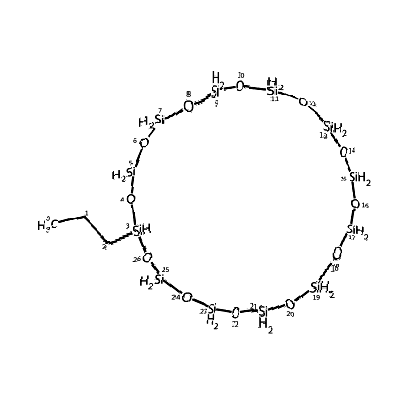 CCC[SiH]1O[SiH2]O[SiH2]O[SiH2]O[SiH2]O[SiH2]O[SiH2]O[SiH2]O[SiH2]O[SiH2]O[SiH2]O[SiH2]O1